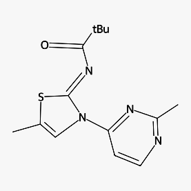 Cc1nccc(-n2cc(C)s/c2=N\C(=O)C(C)(C)C)n1